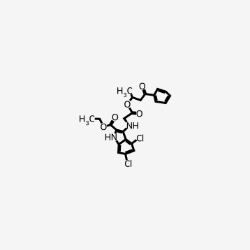 CCOC(=O)c1[nH]c2cc(Cl)cc(Cl)c2c1NCC(=O)OC(C)CC(=O)c1ccccc1